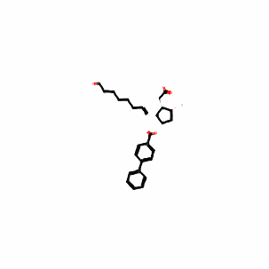 O=C(O)C[C@@H]1[C@@H](C=CCCCCCCO)[C@@H](OC(=O)c2ccc(-c3ccccc3)cc2)C[C@@H]1O